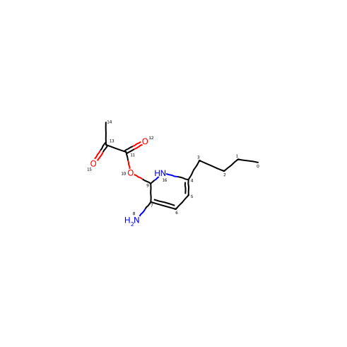 CCCCC1=CC=C(N)C(OC(=O)C(C)=O)N1